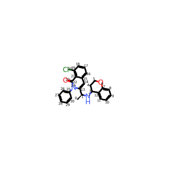 C[C@H](NC1CCOc2ccccc21)c1cc2cccc(Cl)c2c(=O)n1-c1ccccc1